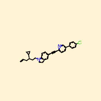 C=CC[C](CCn1ccc2cc(C#Cc3ccc(-c4ccc(Cl)cc4)cn3)ccc21)C1CC1